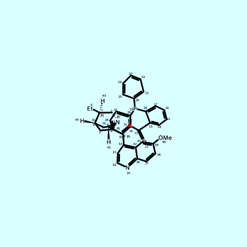 CC[C@H]1C[N@]2CC[C@H]1C[C@H]2[C@H](NC(=O)c1ccccc1P(c1ccccc1)c1ccccc1)c1ccnc2ccc(OC)cc12